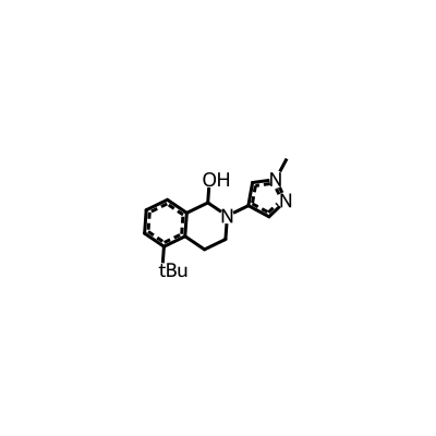 Cn1cc(N2CCc3c(cccc3C(C)(C)C)C2O)cn1